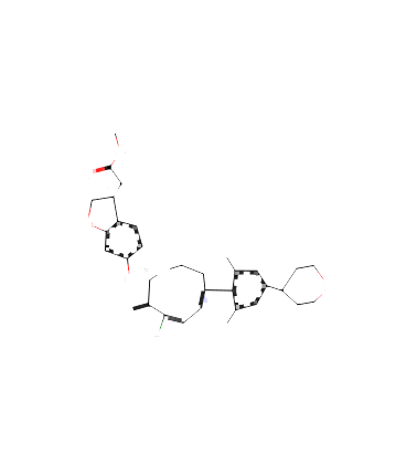 C=C1/C(F)=C\C=C(\c2c(C)cc(C3CCOCC3)cc2C)CCC[C@H]1Oc1ccc2c(c1)OC[C@H]2CC(=O)OC